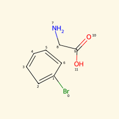 Brc1ccccc1.NCC(=O)O